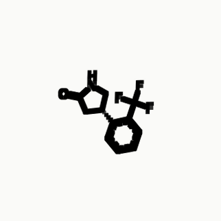 O=C1C[C@@H](c2ccccc2C(F)(F)F)CN1